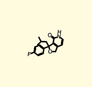 CC(C)CC1(c2ccc(F)cc2)OCc2cc[nH]c(=O)c21